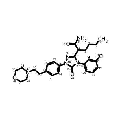 CCCCC(C(N)=O)c1nn(-c2ccc(CCN3CCOCC3)cc2)c(=O)n1-c1cccc(Cl)c1